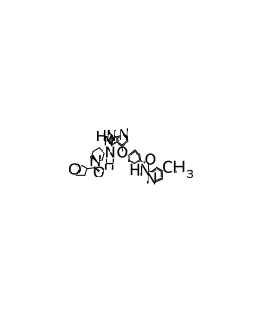 Cc1ccnc(NC(=O)c2ccc(Oc3ccnc4[nH]nc(NC5CCCN(C(=O)C6CCOC6)C5)c34)cc2)c1